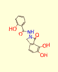 O=C(NN1Cc2ccc(O)c(O)c2C1=O)c1ccccc1O